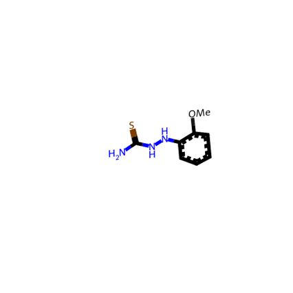 COc1ccccc1NNC(N)=S